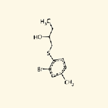 CCC(O)CSc1ccc(C)cc1Br